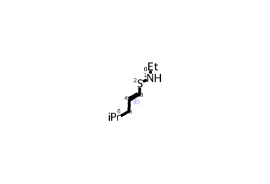 CCNS/C=C/CC(C)C